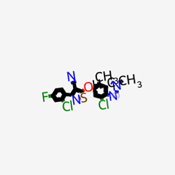 Cc1cc(/N=C\N(C)C)c(Cl)cc1Oc1snc(-c2ccc(F)cc2Cl)c1C#N